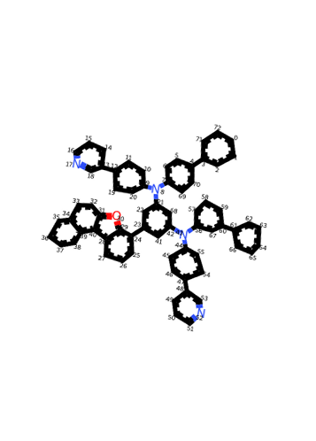 c1ccc(-c2ccc(N(c3ccc(-c4cccnc4)cc3)c3cc(-c4cccc5c4oc4ccc6ccccc6c45)cc(N(c4ccc(-c5cccnc5)cc4)c4cccc(-c5ccccc5)c4)c3)cc2)cc1